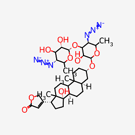 CC1O[C@@H](OC2[C@@H](N=[N+]=[N-])C(C)O[C@@H](O[C@H]3CCC4(C)C5CCC6(C)[C@@H](C7=CC(=O)OC7)CC[C@]6(O)[C@@H]5CC[C@@H]4C3)[C@H]2O)[C@@H](O)C(O)[C@H]1N=[N+]=[N-]